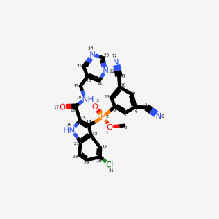 COP(=O)(c1cc(C#N)cc(C#N)c1)c1c(C(=O)NCc2cncnc2)[nH]c2ccc(Cl)cc12